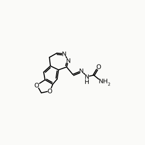 NC(=O)NN=CC1=NN=CCc2cc3c(cc21)OCO3